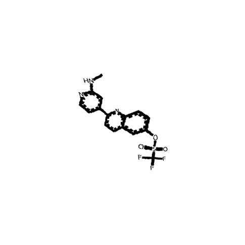 CNc1cc(-c2ccc3cc(OS(=O)(=O)C(F)(F)F)ccc3n2)ccn1